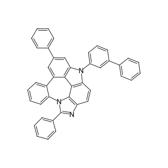 c1ccc(-c2cccc(-n3c4cc(-c5ccccc5)cc5c6ccccc6n6c(-c7ccccc7)nc7ccc3c(c54)c76)c2)cc1